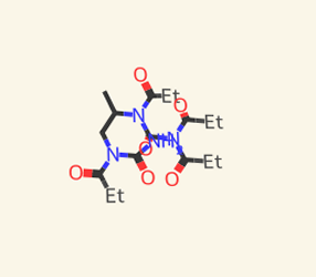 CCC(=O)N(CC(C)N(C(=O)CC)C(=O)N(C(=O)CC)C(=O)CC)C(N)=O